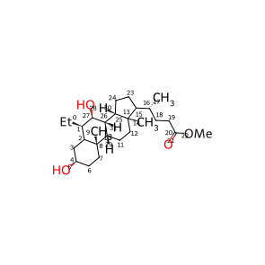 CC[C@@H]1C2C[C@H](O)CC[C@@]2(C)[C@H]2CCC3(C)C([C@H](C)CCC(=O)OC)CC[C@H]3[C@H]2[C@@H]1O